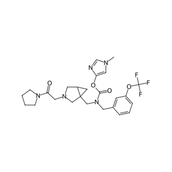 Cn1cnc(OC(=O)N(Cc2cccc(OC(F)(F)F)c2)CC23CC2CN(CC(=O)N2CCCC2)C3)c1